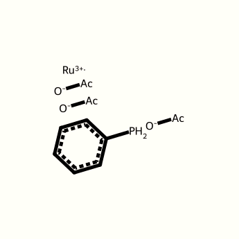 CC(=O)[O-].CC(=O)[O-].CC(=O)[O-].Pc1ccccc1.[Ru+3]